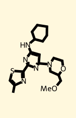 COCC1CN(c2cc(NC3CCCCC3)nc(-c3nc(C)cs3)n2)CCO1